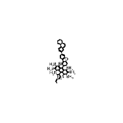 Bc1c(B)c(B)c2c(-c3ccc4oc5cc(-c6ccc7c(ccc8ccccc87)c6)ccc5c4c3)c3c(B)c(B)c(B)c(B)c3c(C(=C)/C=C\C=C/C)c2c1B